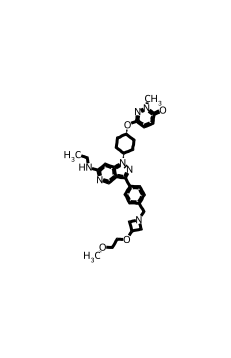 CCNc1cc2c(cn1)c(-c1ccc(CN3CC(OCCOC)C3)cc1)nn2[C@H]1CC[C@@H](Oc2ccc(=O)n(C)n2)CC1